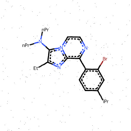 CCCN(CCC)c1c(CC)nc2c(-c3ccc(C(C)C)cc3Br)nccn12